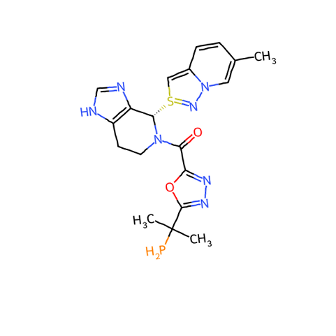 CC1=CN2N=S([C@H]3c4nc[nH]c4CCN3C(=O)c3nnc(C(C)(C)P)o3)C=C2C=C1